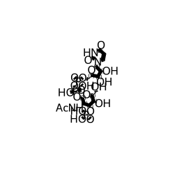 CC(=O)N[C@H]1[C@@H](OP(=O)(O)OP(=O)(O)OC[C@@H]2O[C@H](n3ccc(=O)[nH]c3=O)[C@@H](O)[C@H]2O)O[C@H](CO)[C@@H](O)[C@@H]1OP(=O)(O)O